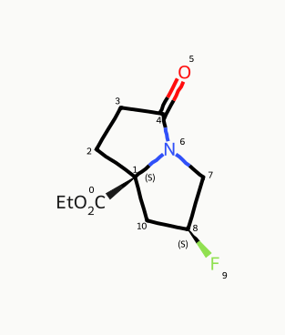 CCOC(=O)[C@@]12CCC(=O)N1C[C@@H](F)C2